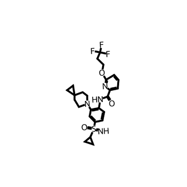 N=S(=O)(c1ccc(NC(=O)c2cccc(OCCC(F)(F)F)n2)c(N2CCC3(CC2)CC3)c1)C1CC1